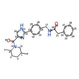 CC1CCC(C)N(C(=O)c2c[nH]c(-c3ccc(CNC(=O)Cc4ccccc4)cc3)n2)C1